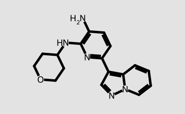 Nc1ccc(-c2cnn3ccccc23)nc1NC1CCOCC1